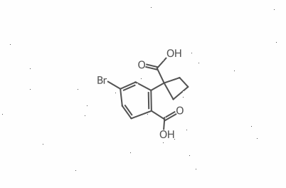 O=C(O)c1ccc(Br)cc1C1(C(=O)O)CCC1